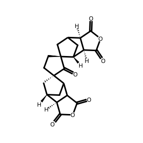 O=C1OC(=O)[C@@H]2C1C1C[C@H]2C[C@@]12CC[C@]1(CC3C[C@@H]1[C@@H]1C(=O)OC(=O)[C@H]31)C2=O